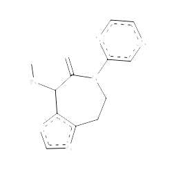 CNC1C(=O)N(c2cnccn2)CCc2ncoc21